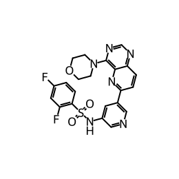 O=S(=O)(Nc1cncc(-c2ccc3ncnc(N4CCOCC4)c3n2)c1)c1ccc(F)cc1F